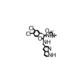 C[C@@H](C(=O)N[C@@H](Cc1ccc(Cl)c(Cl)c1)C(=O)NCc1cnc2[nH]ccc2c1)N(C)C